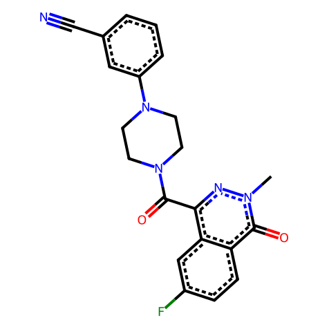 Cn1nc(C(=O)N2CCN(c3cccc(C#N)c3)CC2)c2cc(F)ccc2c1=O